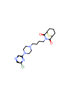 O=C1C2CCCC(S2)C(=O)N1CCCCN1CCN(c2cncc(Cl)n2)CC1